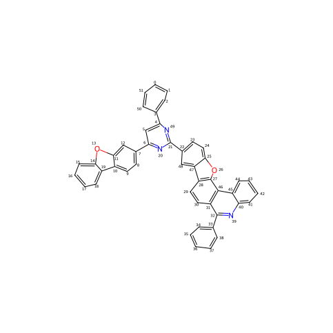 c1ccc(-c2cc(-c3ccc4c(c3)oc3ccccc34)nc(-c3ccc4oc5c(ccc6c(-c7ccccc7)nc7ccccc7c65)c4c3)n2)cc1